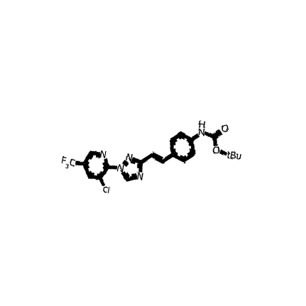 CC(C)(C)OC(=O)Nc1ccc(C=Cc2ncn(-c3ncc(C(F)(F)F)cc3Cl)n2)cc1